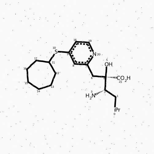 CC(C)C[C@H](N)[C@](O)(Cc1cc(SC2CCCCCC2)ccn1)C(=O)O